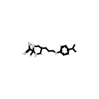 CC(C)c1ccc(OCCCC2COC(C)(C(=O)O)OC2)cc1